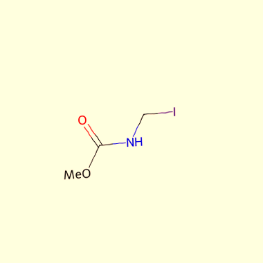 COC(=O)NCI